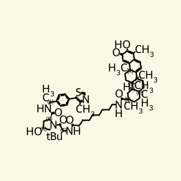 CC1=C(O)C(=O)C=C2C1=CC=C1[C@@]2(C)CC[C@@]2(C)[C@@H]3C[C@](C)(C(=O)NCCCCCCCCC(=O)N[C@H](C(=O)N4C[C@H](O)C[C@H]4C(=O)N[C@@H](C)c4ccc(-c5scnc5C)cc4)C(C)(C)C)CC[C@]3(C)CC[C@]12C